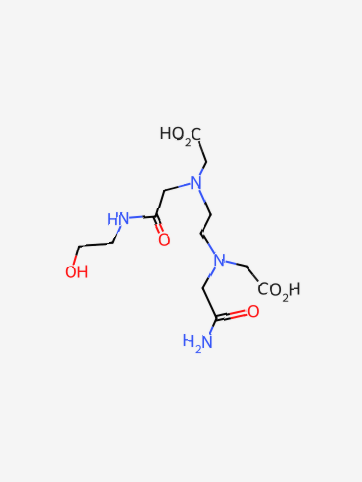 NC(=O)CN(CCN(CC(=O)O)CC(=O)NCCO)CC(=O)O